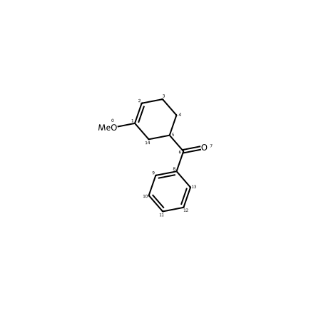 COC1=CCCC(C(=O)c2ccccc2)C1